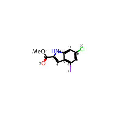 COC(=O)c1cc2c(I)cc(Cl)cc2[nH]1